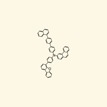 c1ccc2c(-c3ccc(-c4ccc(N(c5ccc(-c6cccc7c6oc6ccccc67)cc5)c5ccc6ccc7ccccc7c6c5)cc4)cc3)cccc2c1